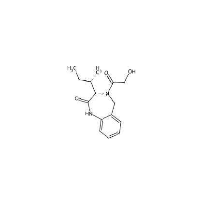 CC[C@H](C)[C@H]1C(=O)Nc2ccccc2CN1C(=O)CO